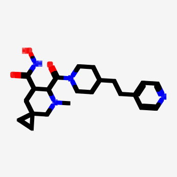 CN1CC2(CC2)CC(C(=O)NO)C1C(=O)N1CCC(CCc2ccncc2)CC1